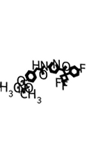 CN(C)S(=O)(=O)c1ccc(CC(=O)Nc2ccc(C(=O)C3(c4ccc(F)cc4)CC(F)(F)C3)nc2)cc1